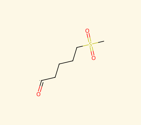 CS(=O)(=O)CCCC[C]=O